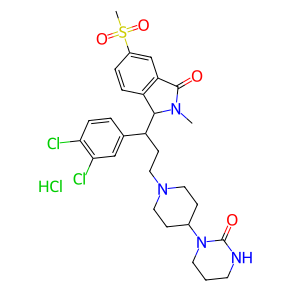 CN1C(=O)c2cc(S(C)(=O)=O)ccc2C1C(CCN1CCC(N2CCCNC2=O)CC1)c1ccc(Cl)c(Cl)c1.Cl